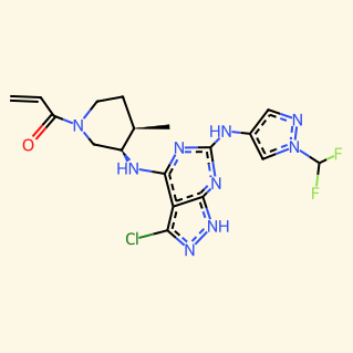 C=CC(=O)N1CC[C@@H](C)[C@@H](Nc2nc(Nc3cnn(C(F)F)c3)nc3[nH]nc(Cl)c23)C1